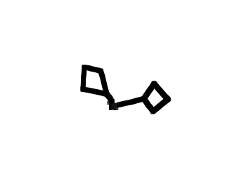 C1CC([Te]C2CCC2)C1